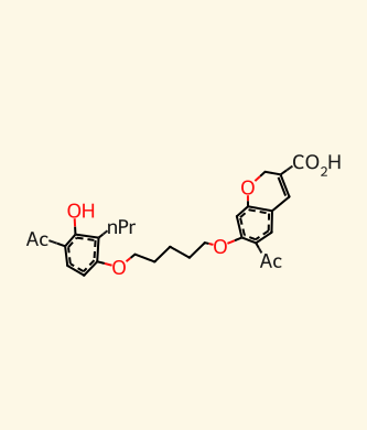 CCCc1c(OCCCCCOc2cc3c(cc2C(C)=O)C=C(C(=O)O)CO3)ccc(C(C)=O)c1O